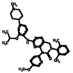 COc1ccc(N2C(=O)N(c3c(C)cccc3C)Cc3cnc(Nc4ccc(C5CCN(C)CC5)cc4OC(C)C)nc32)nc1